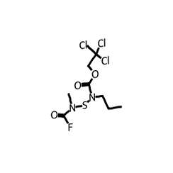 CCCN(SN(C)C(=O)F)C(=O)OCC(Cl)(Cl)Cl